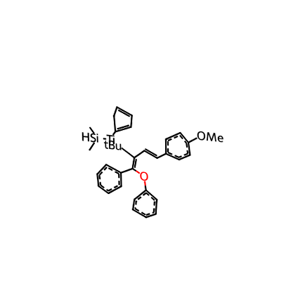 COc1ccc(C=CC(=C(Oc2ccccc2)c2ccccc2)C(C)(C)C)cc1.C[SiH](C)[Ti][C]1=CC=CC1